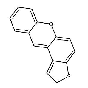 C1=c2c(ccc3c2=CCS3)Oc2ccccc21